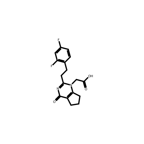 O=C(O)Cn1c(CCc2ccc(F)cc2F)nc(=O)c2c1CCC2